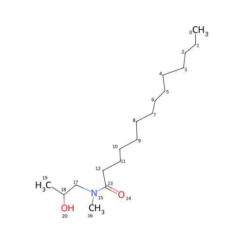 CCCCCCCCCCCCCC(=O)N(C)CC(C)O